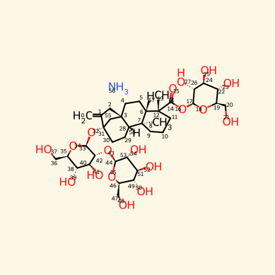 C=C1C[C@@]23CC[C@H]4[C@@](C)(CCC[C@@]4(C)C(=O)O[C@@H]4O[C@H](CO)[C@@H](O)[C@H](O)[C@H]4O)[C@@H]2CC[C@]1(O[C@@H]1O[C@H](CO)[C@@H](O)[C@H](O)[C@H]1O[C@@H]1O[C@H](CO)[C@@H](O)[C@H](O)[C@H]1O)C3.N